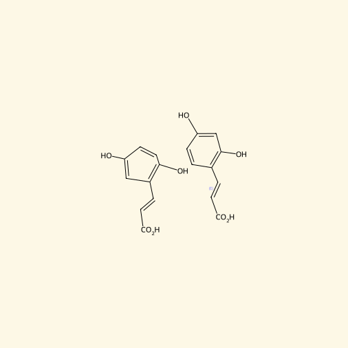 O=C(O)/C=C/c1ccc(O)cc1O.O=C(O)C=Cc1cc(O)ccc1O